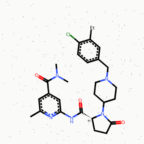 CCc1cc(CN2CCC(N3C(=O)CC[C@@H]3C(=O)Nc3cc(C(=O)N(C)C)cc(C)n3)CC2)ccc1Cl